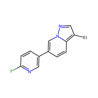 CCc1cnn2cc(-c3ccc(F)nc3)ccc12